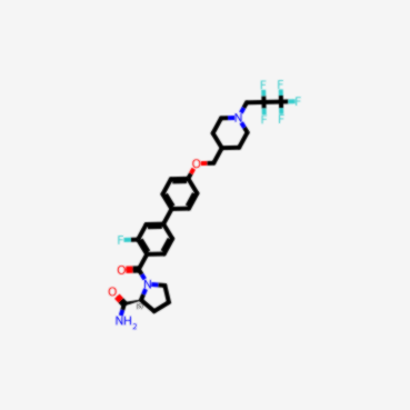 NC(=O)[C@@H]1CCCN1C(=O)c1ccc(-c2ccc(OCC3CCN(CC(F)(F)C(F)(F)F)CC3)cc2)cc1F